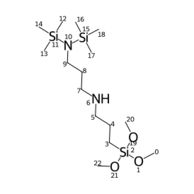 CO[Si](CCCNCCCN([Si](C)(C)C)[Si](C)(C)C)(OC)OC